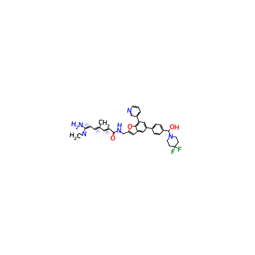 C=N\C(N)=C/C=C(C)/C=C/C(=O)NCc1cc2cc(-c3ccc(C(O)N4CCC(F)(F)CC4)cc3)cc(-c3cccnc3)c2o1